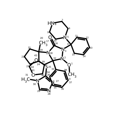 CON1N(C2(N3CCNCC3)C=CC=CC2)C(=O)N(C2(C)CCCC2Sc2nncn2C)C1(c1ccccc1)C1COCO1